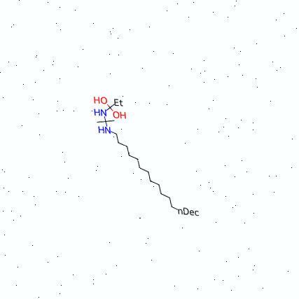 CCCCCCCCCCCCCCCCCCCCCCNC(C)(C)NC(O)(O)CC